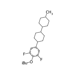 CCC(C)Oc1c(F)cc(C2CCC(C3CCC(C)CC3)CC2)cc1F